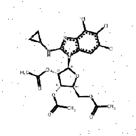 CC(=O)OC[C@@H]1O[C@H](n2c(NC3CC3)nc3c(Cl)c(Cl)c(Cl)cc32)[C@@H](OC(C)=O)[C@H]1OC(C)=O